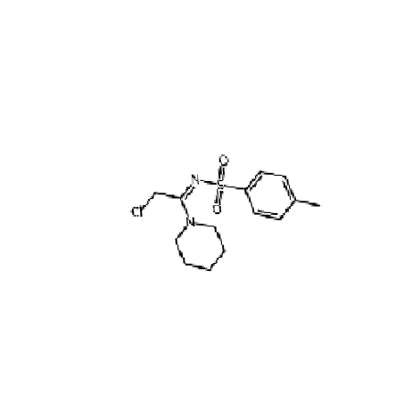 Cc1ccc(S(=O)(=O)N=C(CCl)N2CCCCC2)cc1